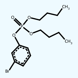 CCCCOP(=O)(OCCCC)Oc1cccc(Br)c1